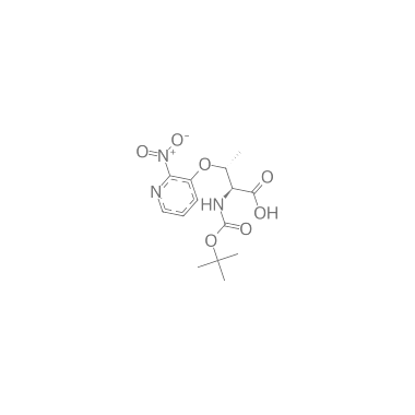 C[C@@H](Oc1cccnc1[N+](=O)[O-])[C@H](NC(=O)OC(C)(C)C)C(=O)O